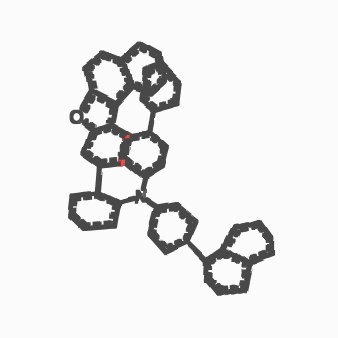 c1ccc(-c2ccc(N(c3ccc(-c4cccc5ccccc45)cc3)c3ccccc3-c3ccc4c(c3)oc3ccc5ccccc5c34)cc2)cc1